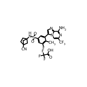 Cc1c(F)cc(S(=O)(=O)NC23CCC(C#N)(C2)C3)cc1-c1cnc2c(N)nc(C(F)(F)F)cn12.O=C(O)C(F)(F)F